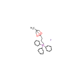 CC12COC(CCC[P+](c3ccccc3)(c3ccccc3)c3ccccc3)(OC1)OC2.[I-]